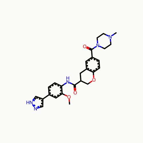 COc1cc(-c2cn[nH]c2)ccc1NC(=O)C1COc2ccc(C(=O)N3CCN(C)CC3)cc2C1